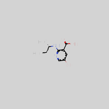 Bc1cnc(N[C@H](C)CC)c(C(=O)O)c1